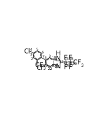 FC(F)(F)c1cc(Cl)ccc1-c1cc2[nH]c(C(F)(F)C(F)(F)C(F)(F)F)nc2cc1Cl